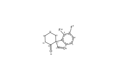 O=NC1(c2cccc(F)c2F)CCCCC1=O